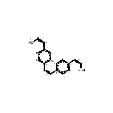 O/C=C\c1ccc(/C=C\c2ccc(/C=C\O)cc2)cc1